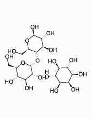 OC[C@H]1O[C@H](O[C@H]2[C@H](O)[C@@H](O)[C@H](O)O[C@@H]2CO)[C@H](O)[C@@H](O)[C@@H]1O.O[C@H]1[C@H](O)[C@@H](O)[C@H](O)[C@@H](O)[C@H]1O